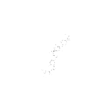 Cc1nc(-c2ccc(C(F)(F)F)cc2)ccc1N(C)C(=O)Cc1ccc(OC(C)(C)C(=O)OC(C)(C)C)cc1